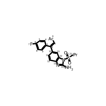 CC(=O)C=C(c1ccc(F)cc1)c1ccc2nc(N)n(S(=O)(=O)C(C)C)c2c1